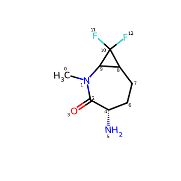 CN1C(=O)[C@@H](N)CCC2C1C2(F)F